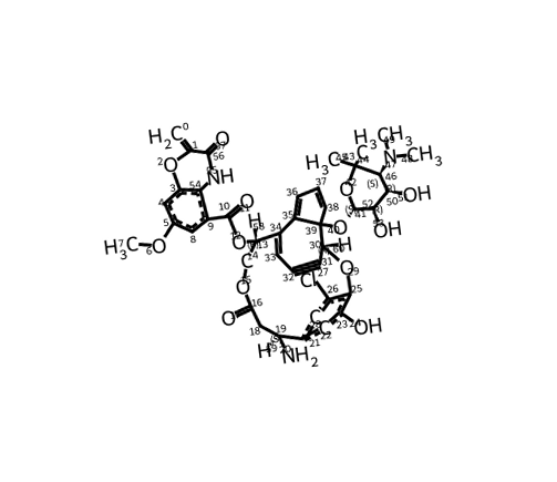 C=C1Oc2cc(OC)cc(C(=O)O[C@H]3COC(=O)C[C@H](N)c4cc(O)c(c(Cl)c4)O[C@@H]4C#CC=C3C3=CC=CC34O[C@@H]3OC(C)(C)[C@@H](N(C)C)[C@@H](O)[C@H]3O)c2NC1=O